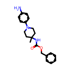 CC1(NC(=O)OCc2ccccc2)CCN(c2ccc(N)cc2)CC1